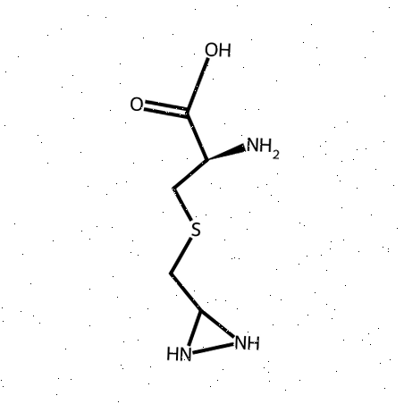 N[C@@H](CSCC1NN1)C(=O)O